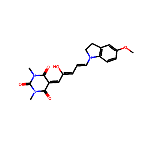 COc1ccc2c(c1)CCN2/C=C/C=C(\O)C=C1C(=O)N(C)C(=O)N(C)C1=O